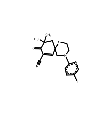 CC1(C)CC2(C=C(C#N)C1=O)CN(c1ccc(F)cn1)CCO2